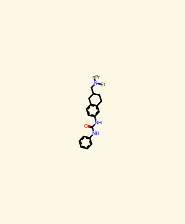 CCCN(CC)CC1CCc2cc(NC(=O)Nc3ccccc3)ccc2C1